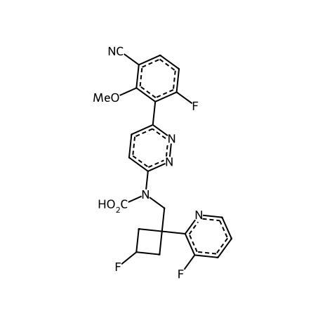 COc1c(C#N)ccc(F)c1-c1ccc(N(CC2(c3ncccc3F)CC(F)C2)C(=O)O)nn1